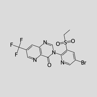 CCS(=O)(=O)c1cc(Br)cnc1-n1cnc2cc(C(F)(F)F)cnc2c1=O